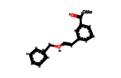 COC(=O)c1cccc(C=COCc2ccccc2)c1